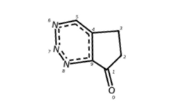 O=C1CCc2cnnnc21